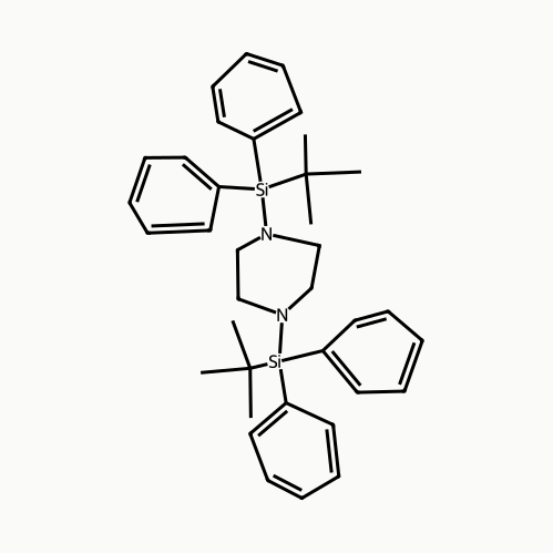 CC(C)(C)[Si](c1ccccc1)(c1ccccc1)N1CCN([Si](c2ccccc2)(c2ccccc2)C(C)(C)C)CC1